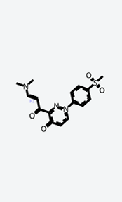 CN(C)/C=C/C(=O)c1nn(-c2ccc(S(C)(=O)=O)cc2)ccc1=O